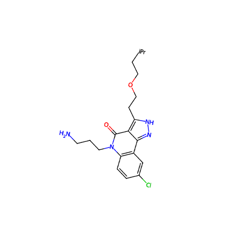 CC(C)CCOCCc1[nH]nc2c1c(=O)n(CCCN)c1ccc(Cl)cc21